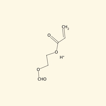 C=CC(=O)OCCOC=O.[H+]